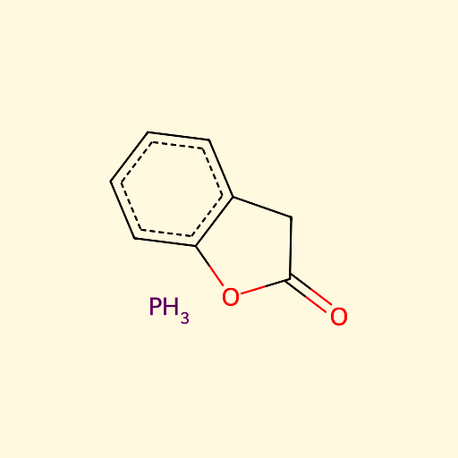 O=C1Cc2ccccc2O1.P